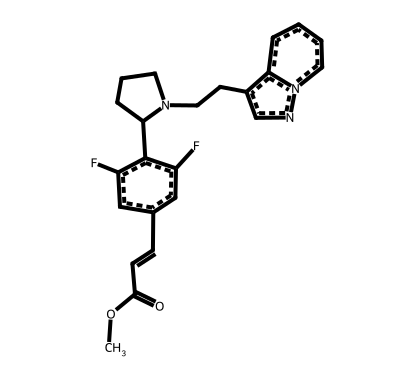 COC(=O)C=Cc1cc(F)c(C2CCCN2CCc2cnn3ccccc23)c(F)c1